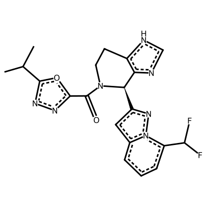 CC(C)c1nnc(C(=O)N2CCc3[nH]cnc3[C@H]2c2cc3cccc(C(F)F)n3n2)o1